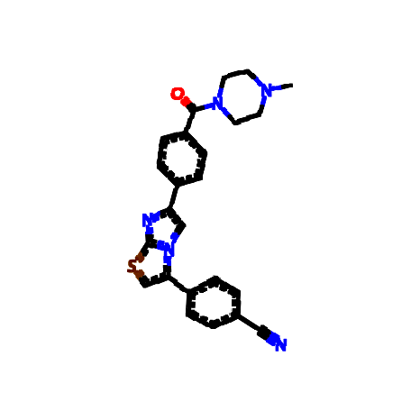 CN1CCN(C(=O)c2ccc(-c3cn4c(-c5ccc(C#N)cc5)csc4n3)cc2)CC1